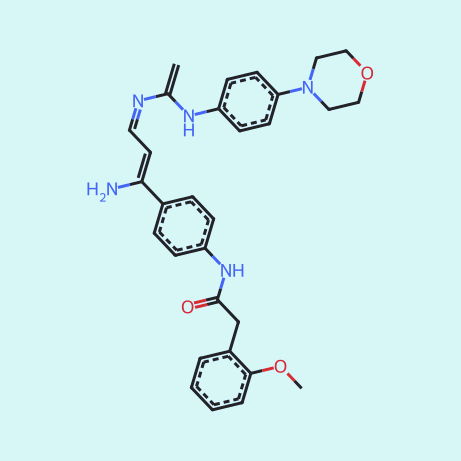 C=C(/N=C\C=C(/N)c1ccc(NC(=O)Cc2ccccc2OC)cc1)Nc1ccc(N2CCOCC2)cc1